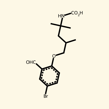 CC(COc1ccc(Br)cc1C=O)CC(C)(C)NC(=O)O